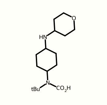 CC(C)(C)N(C(=O)O)C1CCC(NC2CCOCC2)CC1